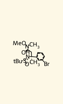 CON(C)C(=O)C[C@](C)(N[S+]([O-])C(C)(C)C)c1cccc(Br)c1